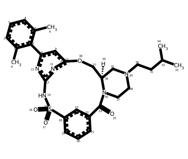 Cc1cccc(C)c1-c1cc2nc(n1)NS(=O)(=O)c1cccc(c1)C(=O)N1CCN(CCC(C)C)C[C@@H]1CO2